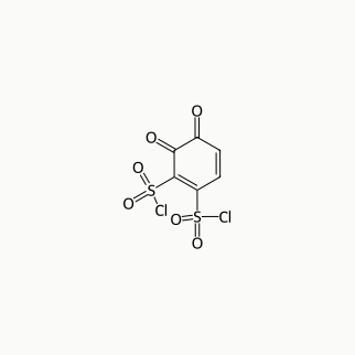 O=C1C=CC(S(=O)(=O)Cl)=C(S(=O)(=O)Cl)C1=O